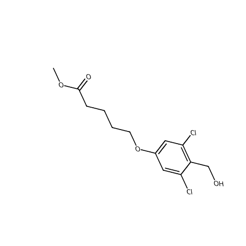 COC(=O)CCCCOc1cc(Cl)c(CO)c(Cl)c1